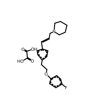 Fc1ccc(OCCc2ccc(C=CCN3CCCCC3)cc2)cc1.O=C(O)C(=O)O